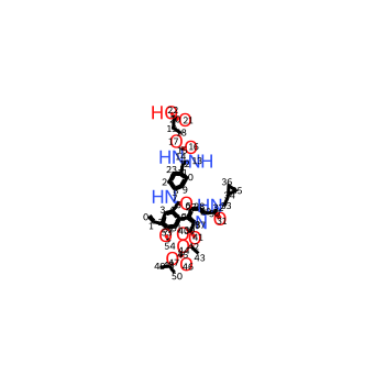 C=Cc1cc(C(=O)Nc2ccc(C(=N)NC(=O)OCCC(=O)O)cc2)c(-c2ccc(C(=O)NCC3CC3)nc2C(=O)OC(C)OC(=O)OC(C)C)cc1OC